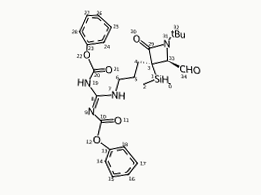 C[SiH](C)[C@@]1(CCCN/C(=N\C(=O)Oc2ccccc2)NC(=O)Oc2ccccc2)C(=O)N(C(C)(C)C)[C@H]1C=O